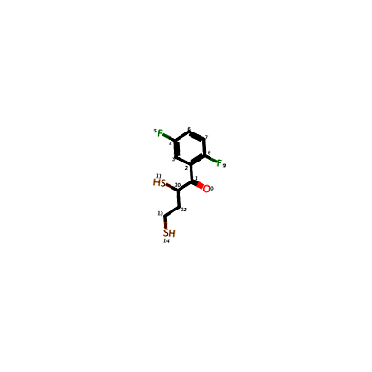 O=C(c1cc(F)ccc1F)C(S)CCS